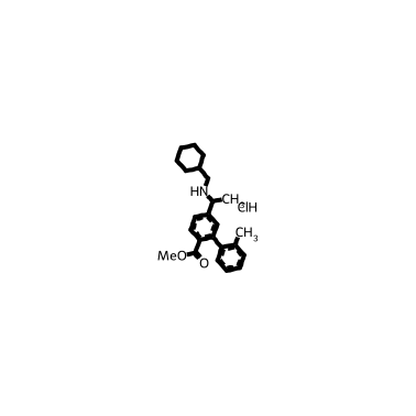 COC(=O)c1ccc(C(C)NCC2CCCCC2)cc1-c1ccccc1C.Cl